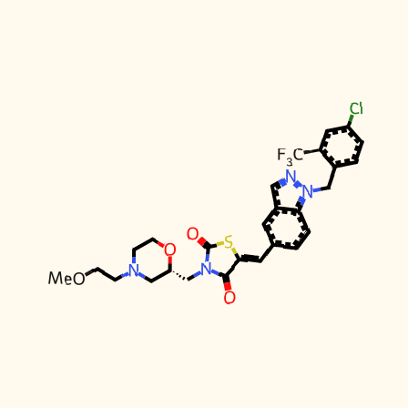 COCCN1CCO[C@H](CN2C(=O)SC(=Cc3ccc4c(cnn4Cc4ccc(Cl)cc4C(F)(F)F)c3)C2=O)C1